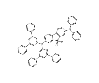 O=S1(=O)c2cc(N(c3ccccc3)c3ccccc3)ccc2-c2ccc(N(c3cc(-c4ccccc4)nc(-c4ccccc4)c3)c3cc(-c4ccccc4)cc(-c4ccccc4)n3)cc21